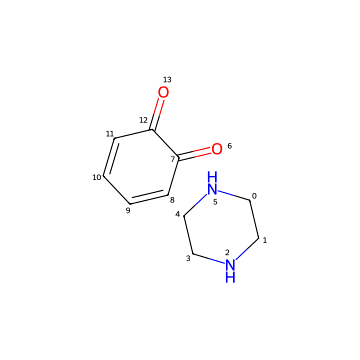 C1CNCCN1.O=C1C=CC=CC1=O